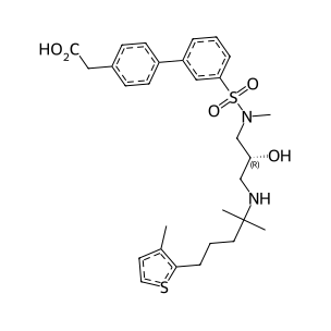 Cc1ccsc1CCCC(C)(C)NC[C@@H](O)CN(C)S(=O)(=O)c1cccc(-c2ccc(CC(=O)O)cc2)c1